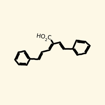 O=C(O)C(C=Cc1ccccc1)=CC=Cc1ccccc1